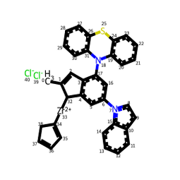 CC1=Cc2c(cc(-n3ccc4ccccc43)cc2N2c3ccccc3Sc3ccccc32)[CH]1[Zr+2][C]1=CC=CC1.[Cl-].[Cl-]